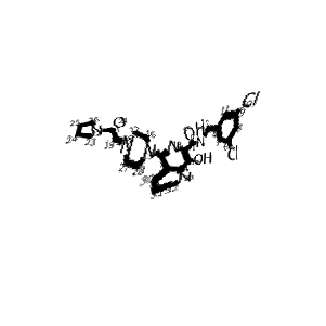 O=C(NCc1cc(Cl)cc(Cl)c1)c1nc(N2CCN(CC(=O)N3CCCC3)CC2)c2cccnc2c1O